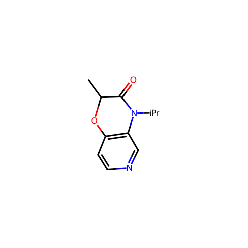 CC1Oc2ccncc2N(C(C)C)C1=O